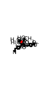 C[C@@H](O)[C@H]1C(=O)N(C(C(=O)OCc2ccc([N+](=O)[O-])cc2)=C(Oc2ccc(CC#N)cc2)SC(=O)C(C)(C)C)[C@H]1Cl